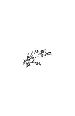 C=C(/C(F)=C\C=C(/C)NC(=O)c1ccc(C#N)cn1)[C@@]1(CF)N=C(N)O[C@]2(CF)CC(F)(F)C[C@@H]21